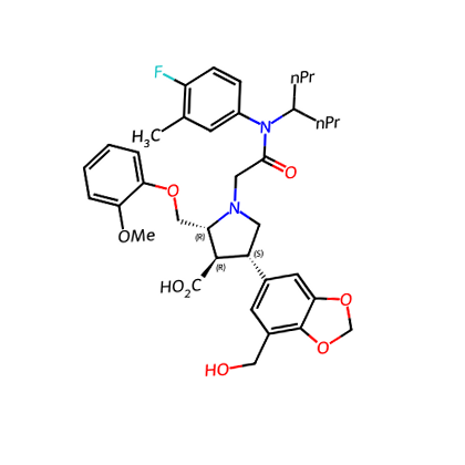 CCCC(CCC)N(C(=O)CN1C[C@H](c2cc(CO)c3c(c2)OCO3)[C@@H](C(=O)O)[C@@H]1COc1ccccc1OC)c1ccc(F)c(C)c1